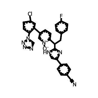 N#Cc1ccc(-c2c[nH]c(C(Cc3ccc(F)cc3)c3ccc(-c4cc(Cl)ccc4-n4cnnn4)c[n+]3[O-])n2)cc1